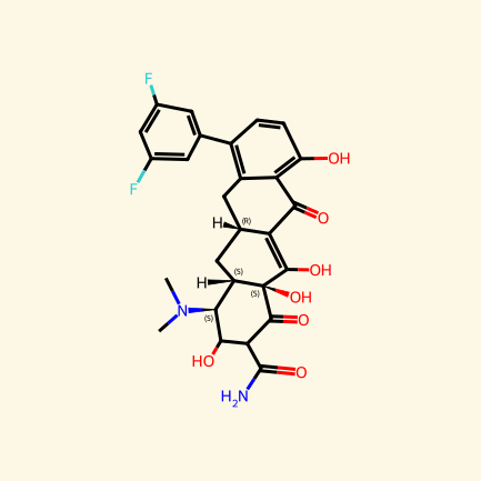 CN(C)[C@@H]1C(O)C(C(N)=O)C(=O)[C@@]2(O)C(O)=C3C(=O)c4c(O)ccc(-c5cc(F)cc(F)c5)c4C[C@H]3C[C@@H]12